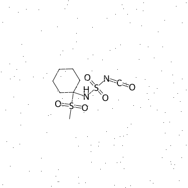 CS(=O)(=O)C1(NS(=O)(=O)N=C=O)CCCCC1